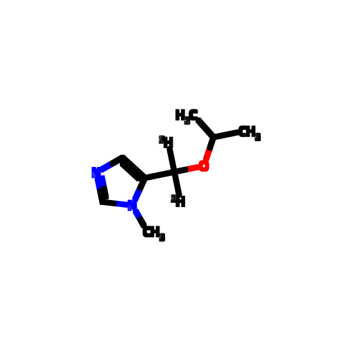 [2H]C([2H])(OC(C)C)c1cncn1C